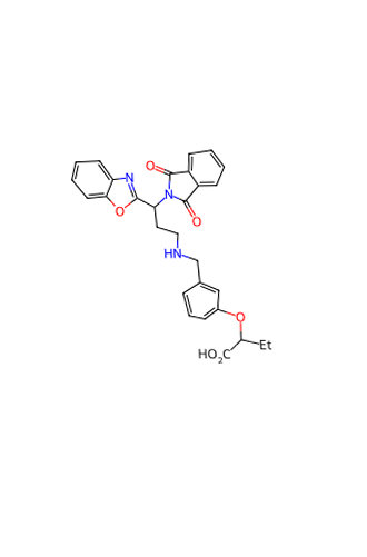 CCC(Oc1cccc(CNCCC(c2nc3ccccc3o2)N2C(=O)c3ccccc3C2=O)c1)C(=O)O